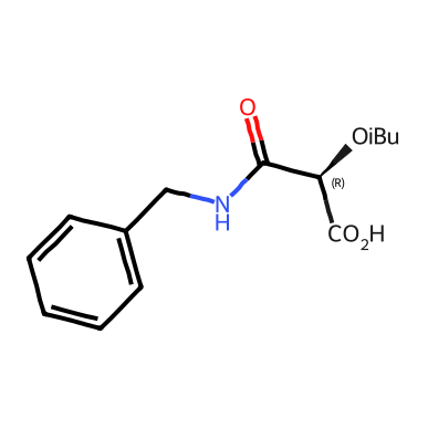 CC(C)CO[C@@H](C(=O)O)C(=O)NCc1ccccc1